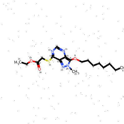 CCCCCCCCOc1c2ncnc(SCC(=O)OCC)c2nn1C